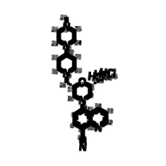 C[C@@H]1CN(c2ccc(C#N)c3ncccc23)C[C@H](CN2CCC(N3CCN(C)CC3)CC2)O1.Cl.Cl.Cl